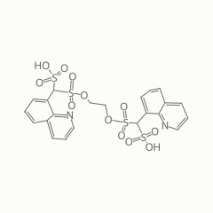 O=S(=O)(O)C(c1cccc2cccnc12)S(=O)(=O)OCCOS(=O)(=O)C(c1cccc2cccnc12)S(=O)(=O)O